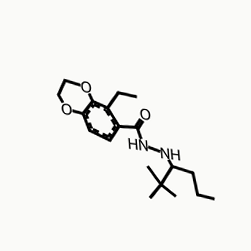 CCCC(NNC(=O)c1ccc2c(c1CC)OCCO2)C(C)(C)C